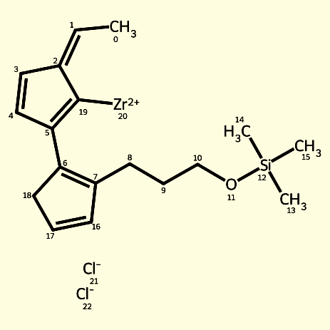 CC=C1C=CC(C2=C(CCCO[Si](C)(C)C)C=CC2)=[C]1[Zr+2].[Cl-].[Cl-]